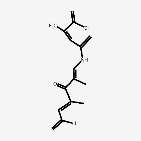 C=C(Cl)/C=C(\C)C(=O)/C(C)=C/NC(=C)/C=C(\C(=C)Cl)C(F)(F)F